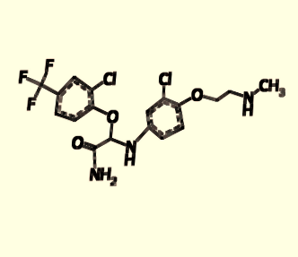 CNCCOc1ccc(NC(Oc2ccc(C(F)(F)F)cc2Cl)C(N)=O)cc1Cl